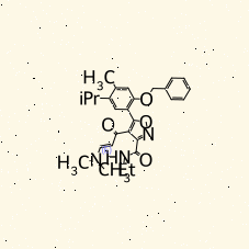 CCNC(=O)c1noc(-c2cc(C(C)C)c(C)cc2OCc2ccccc2)c1C(=O)/C=C/N(C)C